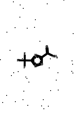 NC(=O)c1nc(C(F)(F)F)no1